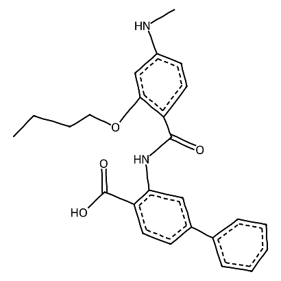 CCCCOc1cc(NC)ccc1C(=O)Nc1cc(-c2ccccc2)ccc1C(=O)O